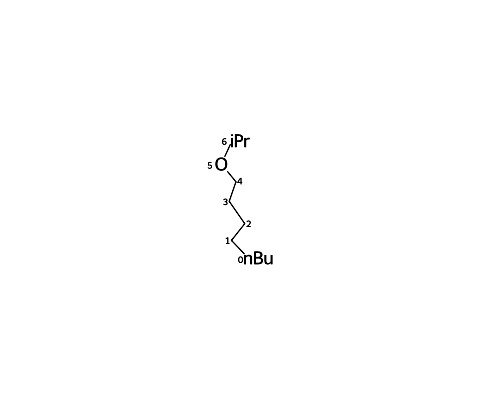 [CH2]CCCCCCCOC(C)C